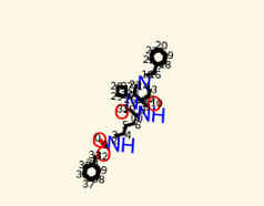 O=C(NCCCC[C@@H]1NC(=O)C2(CCN(CCc3ccccc3)CC2)N(C2CCC2)C1=O)OCc1ccccc1